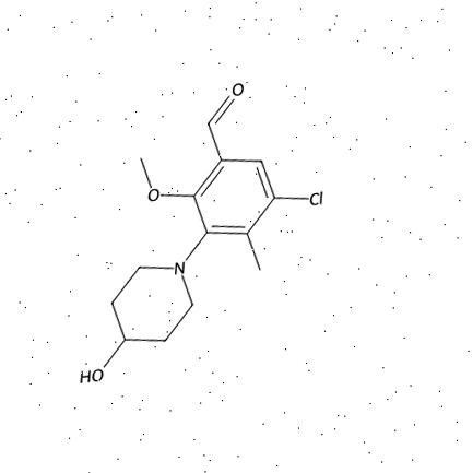 COc1c(C=O)cc(Cl)c(C)c1N1CCC(O)CC1